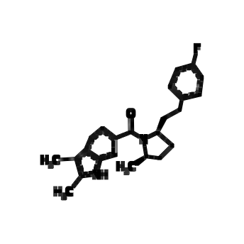 Cc1[nH]c2cc(C(=O)N3[C@@H](CCc4ccc(F)cc4)CC[C@H]3C)ccc2c1C